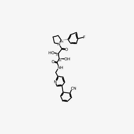 N#Cc1ccccc1-c1ccc(CNC(=O)[C@H](O)[C@@H](O)C(=O)N2CCC[C@@H]2c2ccc(F)cc2)nc1